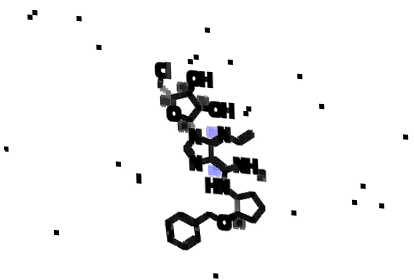 C=C/N=C1\C(=C(/N)NC2CCC[C@H]2OCc2ccccc2)N=CN1[C@@H]1O[C@H](CCl)[C@@H](O)[C@H]1O